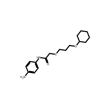 Nc1ccc(NC(=O)CSCCCOC2CCCCC2)cc1